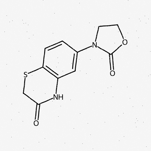 O=C1CSc2ccc(N3CCOC3=O)cc2N1